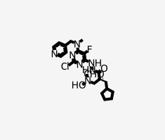 CN(Cc1ccncc1)c1nc(Cl)nc(NNC(=O)[C@@H](CC2CCCC2)CN(O)C=O)c1F